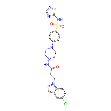 O=C(CCn1ccc2cc(Cl)ccc21)NN1CCN(c2ccc(S(=O)(=O)Nc3ncns3)cc2)CC1